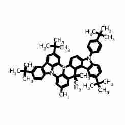 Cc1cc2c3c(c1)C(C)(C)c1c(ccc4c1c1cc(C(C)(C)C)ccc1n4-c1ccc(C(C)(C)C)cc1)B3c1cc(C(C)(C)C)cc3c4cc(C(C)(C)C)ccc4n-2c13